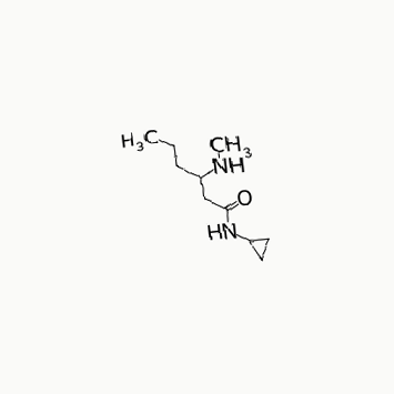 CCCC(CC(=O)NC1CC1)NC